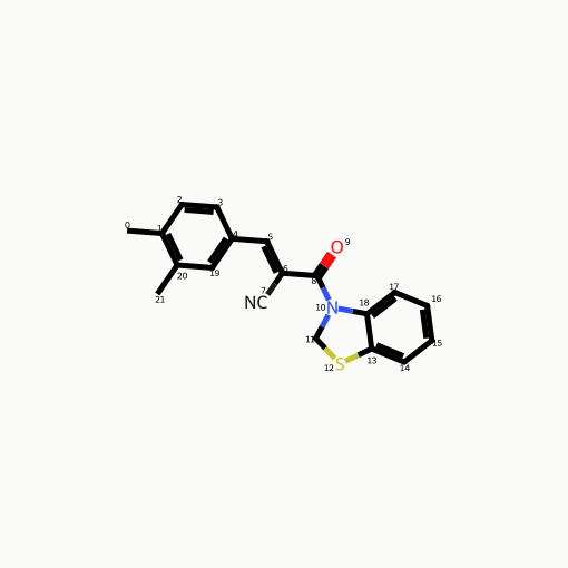 Cc1ccc(/C=C(\C#N)C(=O)N2CSc3ccccc32)cc1C